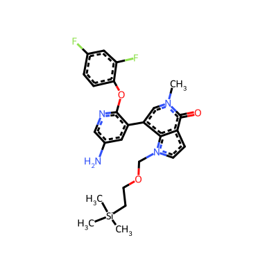 Cn1cc(-c2cc(N)cnc2Oc2ccc(F)cc2F)c2c(ccn2COCC[Si](C)(C)C)c1=O